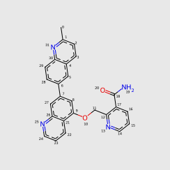 Cc1ccc2cc(-c3cc(OCc4ncccc4C(N)=O)c4cccnc4c3)ccc2n1